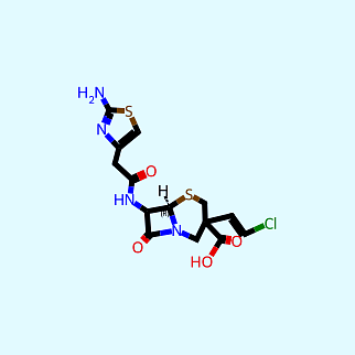 Nc1nc(CC(=O)NC2C(=O)N3CC(C=CCl)(C(=O)O)CS[C@H]23)cs1